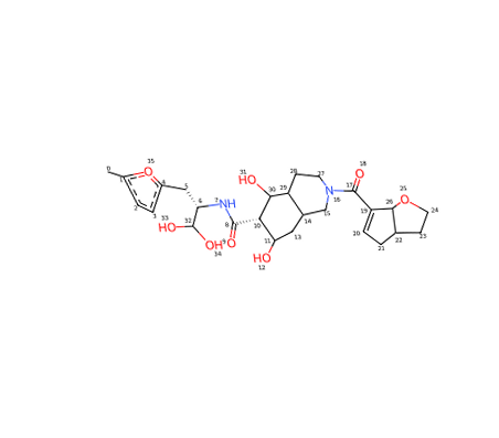 Cc1ccc(C[C@H](NC(=O)[C@H]2C(O)CC3CN(C(=O)C4=CCC5CCOC45)CCC3C2O)C(O)O)o1